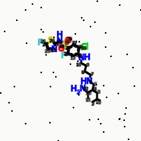 CC(C)CC(CNCCCCNc1cc(F)c(S(=O)(=O)Nc2ncc(F)s2)cc1Cl)[C@@H](C)N